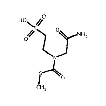 CSC(=O)N(CCS(=O)(=O)O)CC(N)=O